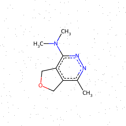 Cc1nnc(N(C)C)c2c1COC2